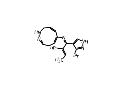 C/C=C(CCC)/C(=N\C1=C\C/C=N\NC\C=C/1)c1c[nH]nc1C(C)C